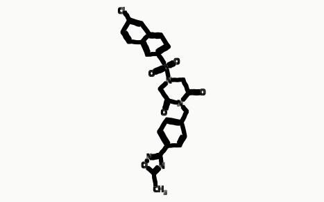 Cc1nc(-c2ccc(CN3C(=O)CN(S(=O)(=O)c4ccc5cc(Cl)ccc5c4)CC3=O)cc2)no1